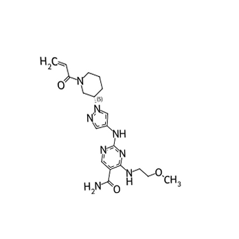 C=CC(=O)N1CCC[C@H](n2cc(Nc3ncc(C(N)=O)c(NCCOC)n3)cn2)C1